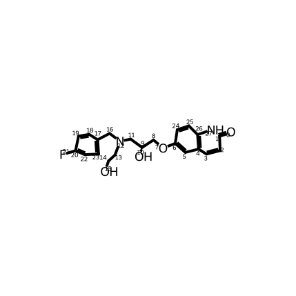 O=c1ccc2cc(OC[C@@H](O)CN(CCO)Cc3ccc(F)cc3)ccc2[nH]1